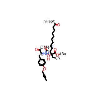 CC#CCOc1ccc(C[C@H](NC(=O)[C@@H](/C=C/CCCCCCC(=O)CCCCCCC)[C@@](O)(CC#N)C(=O)OC(C)(C)C)C(=O)OC)cc1